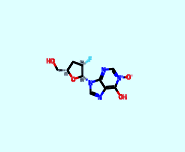 [O-][n+]1cnc2c(ncn2[C@@H]2O[C@H](CO)C[C@@H]2F)c1O